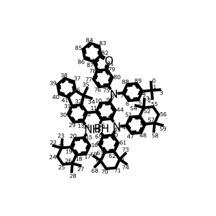 CC(C)(C)c1ccc(N(c2cc(-c3c(Nc4ccc5c(c4)C(C)(C)CCC5(C)C)ccc4c3C(C)(C)c3ccccc3-4)c3c(c2)N(c2ccc4c(c2)C(C)(C)CCC4(C)C)c2cc4c(cc2B3)C(C)(C)CCC4(C)C)c2ccc3c(c2)oc2ccccc23)cc1